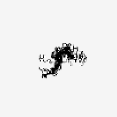 COC(=O)C(NC[S+]([O-])c1c(C)cc(OCCCC(=O)NCCC#N)cc1C)NC(=O)OC(C)(C)C